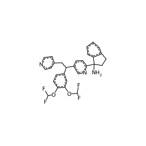 NC1(c2ccc(C(Cc3ccncc3)c3ccc(OC(F)F)c(OC(F)F)c3)cn2)CCc2ccccc21